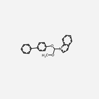 COC(Oc1ccc(-c2ccccc2)cc1)n1ccc2ccccc21